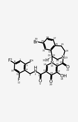 O=C(NCc1c(F)cc(F)cc1F)c1cn2c(c(O)c1=O)C(=O)N1CCc3ccc(Br)cc3[C@H]2C1